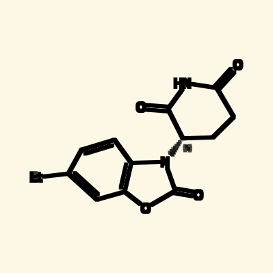 CCc1ccc2c(c1)oc(=O)n2[C@H]1CCC(=O)NC1=O